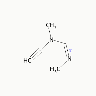 C#CN(C)/C=N\C